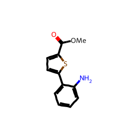 COC(=O)c1ccc(-c2ccccc2N)s1